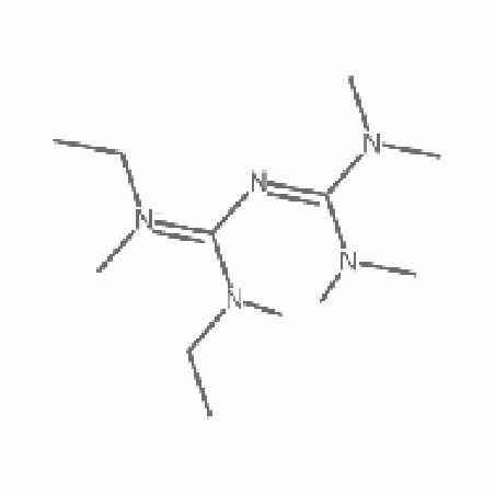 CCN(C)/C(N=C(N(C)C)N(C)C)=[N+](\C)CC